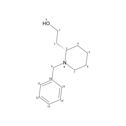 OCC[C@@H]1CCCCN1Cc1ccccc1